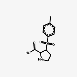 Cc1ccc(S(=O)(=O)C2CCNC2C(=O)O)cc1